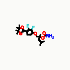 CC(C)=CC(C)(COc1ccc(B2OC(C)(C)C(C)(C)O2)c(F)c1F)OC(N)=O